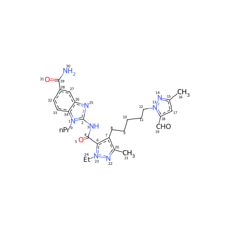 CCCn1c(NC(=O)c2c(CCCCCn3nc(C)cc3C=O)c(C)nn2CC)nc2cc(C(N)=O)ccc21